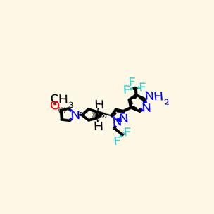 CO[C@H]1CCN([C@H]2C[C@@H]3[C@H](C2)[C@@H]3c2cc(-c3cnc(N)c(C(F)(F)F)c3)nn2CC(F)F)C1